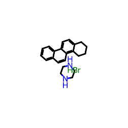 Br.C1CNCCN1.c1ccc2c(c1)ccc1c3c(ccc12)CCCC3